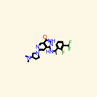 C[C@@H](Nc1n[nH]c(=O)c2cnc(N3CCC(N(C)C)C3)cc12)c1cccc(C(F)F)c1F